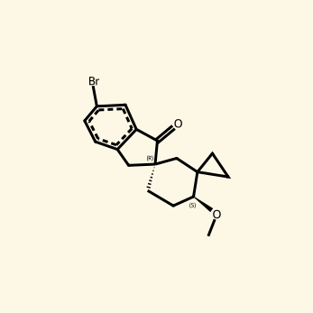 CO[C@H]1CC[C@@]2(Cc3ccc(Br)cc3C2=O)CC12CC2